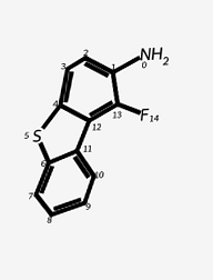 Nc1ccc2sc3ccccc3c2c1F